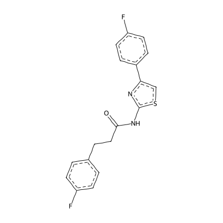 O=C(CCc1ccc(F)cc1)Nc1nc(-c2ccc(F)cc2)cs1